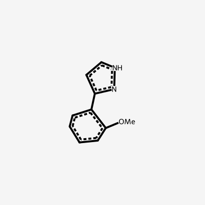 COc1ccccc1-c1cc[nH]n1